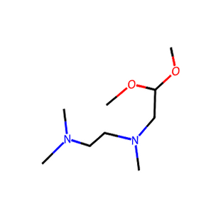 COC(CN(C)CCN(C)C)OC